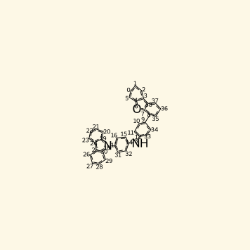 c1ccc2c(c1)oc1c(-c3ccc(Nc4ccc(-n5c6ccccc6c6ccccc65)cc4)cc3)cccc12